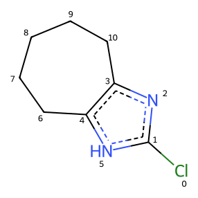 Clc1nc2c([nH]1)CCCCC2